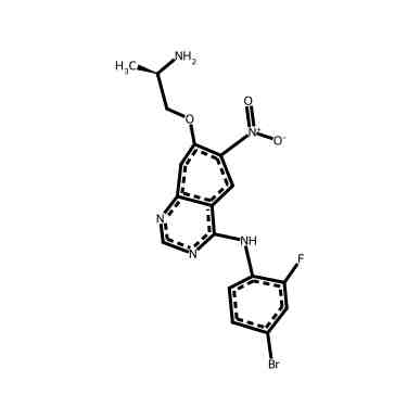 C[C@@H](N)COc1cc2ncnc(Nc3ccc(Br)cc3F)c2cc1[N+](=O)[O-]